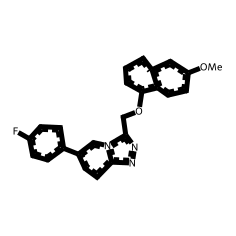 COc1ccc2c(OCc3nnc4ccc(-c5ccc(F)cc5)cn34)cccc2c1